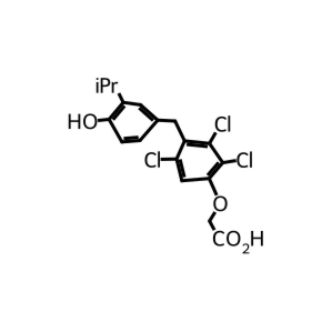 CC(C)c1cc(Cc2c(Cl)cc(OCC(=O)O)c(Cl)c2Cl)ccc1O